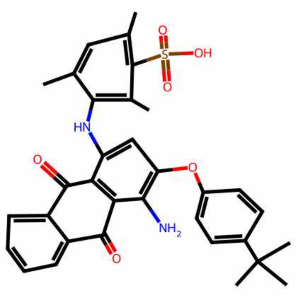 Cc1cc(C)c(S(=O)(=O)O)c(C)c1Nc1cc(Oc2ccc(C(C)(C)C)cc2)c(N)c2c1C(=O)c1ccccc1C2=O